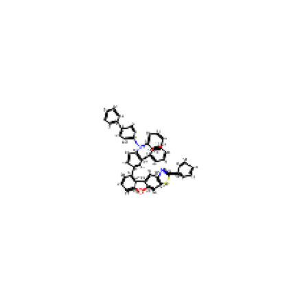 c1ccc(-c2ccc(N(c3ccccc3)c3ccc(-c4cccc5oc6cc7sc(-c8ccccc8)nc7cc6c45)cc3-c3ccccc3)cc2)cc1